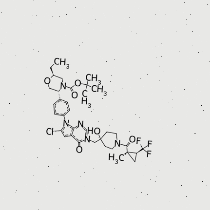 CC[C@H]1CN(C(=O)OC(C)(C)C)[C@H](c2ccc(-n3c(Cl)cc4c(=O)n(CC5(O)CCN(C(=O)[C@@]6(C)C[C@@H]6C(F)(F)F)CC5)cnc43)cc2)CO1